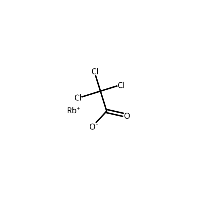 O=C([O-])C(Cl)(Cl)Cl.[Rb+]